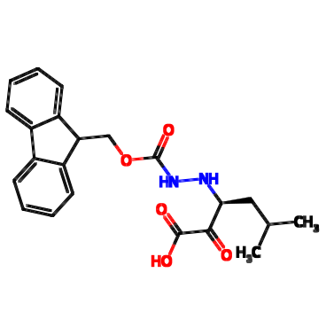 CC(C)C[C@H](NNC(=O)OCC1c2ccccc2-c2ccccc21)C(=O)C(=O)O